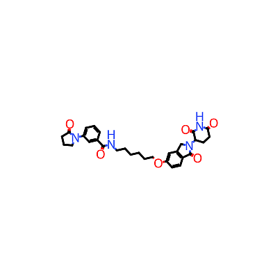 O=C1CCC(N2Cc3cc(OCCCCCCNC(=O)c4cccc(N5CCCC5=O)c4)ccc3C2=O)C(=O)N1